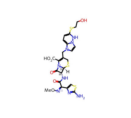 CO/N=C(\C(=O)N[C@@H]1C(=O)N2C(C(=O)O)=C(CN3C=CN4NC(SCCO)=CC=C34)CS[C@@H]12)c1csc(N)n1